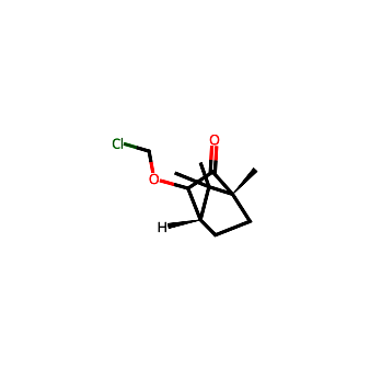 CC1(C)[C@@H]2CC[C@@]1(C)C(=O)C2OCCl